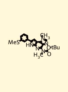 CSc1cccc(-c2cc3c(nc(N(C)C(=O)OC(C)(C)C)c4ncn(C)c43)[nH]2)c1